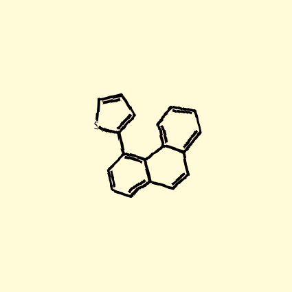 c1csc(-c2cccc3ccc4ccccc4c23)c1